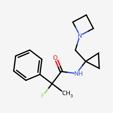 CC(F)(C(=O)NC1(CN2CCC2)CC1)c1ccccc1